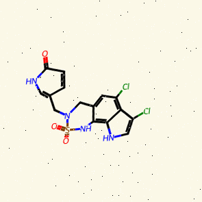 O=c1ccc(CN2Cc3cc(Cl)c4c(Cl)c[nH]c4c3NS2(=O)=O)c[nH]1